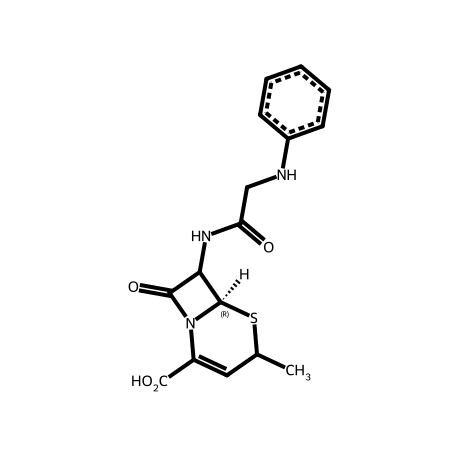 CC1C=C(C(=O)O)N2C(=O)C(NC(=O)CNc3ccccc3)[C@H]2S1